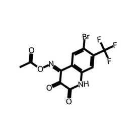 CC(=O)ON=C1C(=O)C(=O)Nc2cc(C(F)(F)F)c(Br)cc21